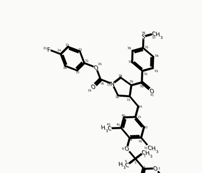 CCOC(=O)C(C)(C)Oc1c(C)cc(CC2CN(C(=O)Oc3ccc(F)cc3)CC2C(=O)c2ccc(SC)cc2)cc1C